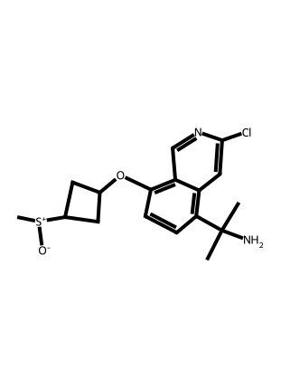 C[S+]([O-])C1CC(Oc2ccc(C(C)(C)N)c3cc(Cl)ncc23)C1